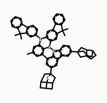 Cc1cc2c3c(c1)N(c1ccc4c(c1)C(C)(C)c1ccccc1-4)c1cc4c(cc1B3n1c3ccc(C56CC7CC8CC7(C5)C8C6)cc3c3cc(C56CC7CC8CC(C5)C87C6)cc-2c31)C(C)(C)c1ccccc1-4